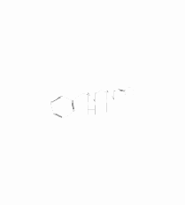 O=CNCNCc1ccccc1